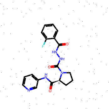 O=C(NNC(=O)N1CCC[C@H]1C(=O)Nc1cccnc1)c1ccccc1F